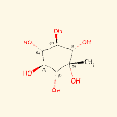 C[C@@]1(O)[C@H](O)[C@@H](O)[C@H](O)[C@@H](O)[C@@H]1O